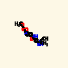 C#CCN(C)C(=N)c1ccc(C(=O)Nc2ccc3c(c2)CCN(CC(=O)OCCOC)C3)cc1